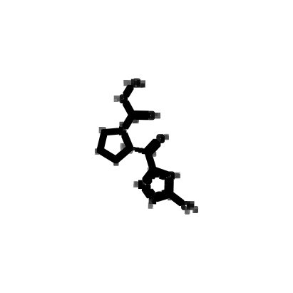 Cc1nnc(C(=O)[C@@H]2CCCN2C(=O)OC(C)(C)C)o1